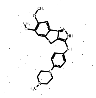 COc1cc2c(cc1OC)-c1n[nH]c(Nc3ccc(N4CCN(C)CC4)cc3)c1C2